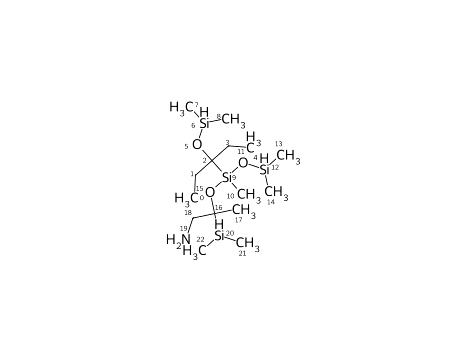 CCC(CC)(O[SiH](C)C)[Si](C)(O[SiH](C)C)OC(C)(CN)[SiH](C)C